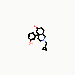 O=C1CCC2CN(CC3CC3)CCC2(c2cccc(O)c2)C1